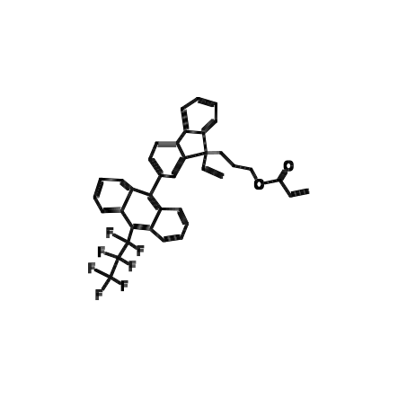 C=CC(=O)OCCCC1(C=C)c2ccccc2-c2ccc(-c3c4ccccc4c(C(F)(F)C(F)(F)C(F)(F)F)c4ccccc34)cc21